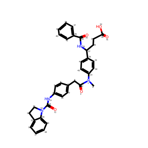 CN(C(=O)Cc1ccc(NC(=O)N2CCc3ccccc32)cc1)c1ccc(C(CCC(=O)O)NC(=O)c2ccccc2)cc1